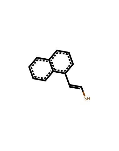 SC=Cc1cccc2ccccc12